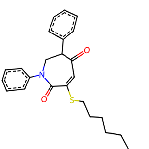 CCCCCCSC1=CC(=O)C(c2ccccc2)CN(c2ccccc2)C1=O